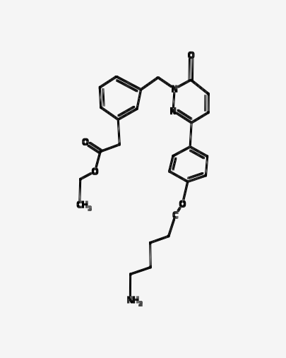 CCOC(=O)Cc1cccc(Cn2nc(-c3ccc(OCCCCCN)cc3)ccc2=O)c1